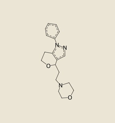 c1ccc(-n2ncc3c2CCOC3CCN2CCOCC2)cc1